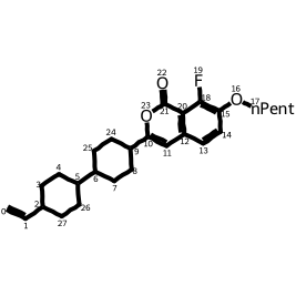 C=CC1CCC(C2CCC(c3cc4ccc(OCCCCC)c(F)c4c(=O)o3)CC2)CC1